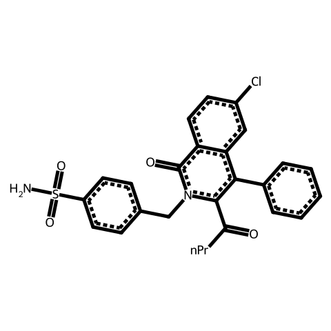 CCCC(=O)c1c(-c2ccccc2)c2cc(Cl)ccc2c(=O)n1Cc1ccc(S(N)(=O)=O)cc1